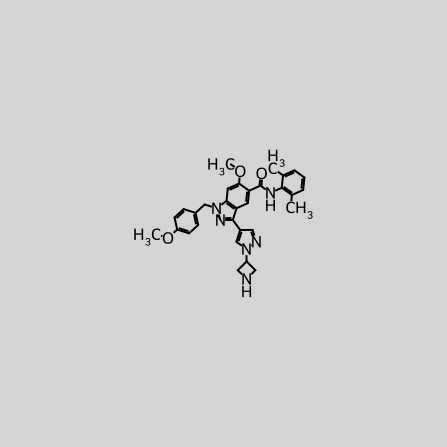 COc1ccc(Cn2nc(-c3cnn(C4CNC4)c3)c3cc(C(=O)Nc4c(C)cccc4C)c(OC)cc32)cc1